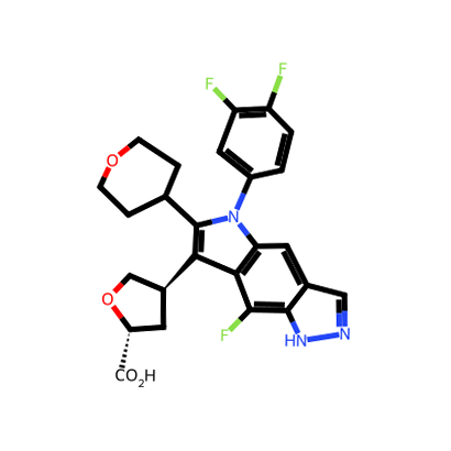 O=C(O)[C@H]1C[C@H](c2c(C3CCOCC3)n(-c3ccc(F)c(F)c3)c3cc4cn[nH]c4c(F)c23)CO1